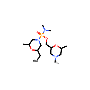 CC1CN(C(C)(C)C)CC(COP(=O)(N(C)C)N2CC(C)OC(CC(C)(C)C)C2)O1